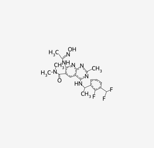 CC(=NO)Nc1nc2nc(C)nc(NC(C)c3cccc(C(F)F)c3F)c2cc1C(=O)N(C)C